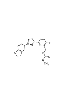 COC(=O)NCc1cc(C2=NN(c3ccc4c(c3)CCO4)CC2)ccc1F